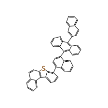 c1ccc2cc(-c3c4ccccc4c(-c4ccc(-c5cccc6c5sc5ccc7ccccc7c56)c5ccccc45)c4ccccc34)ccc2c1